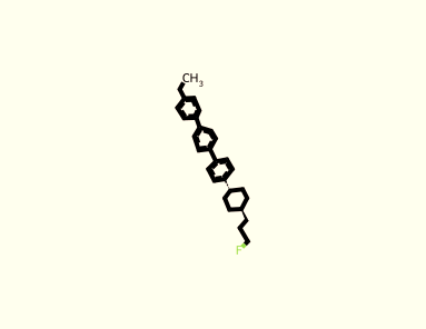 CCc1ccc(-c2ccc(-c3ccc([C@H]4CC[C@H](CCCF)CC4)cc3)cc2)cc1